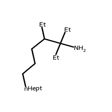 CCCCCCCCCCC(CC)C(N)(CC)CC